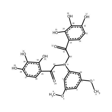 COc1cc(OC)cc(N(CC(=O)c2ccc(O)c(O)c2O)CC(=O)c2ccc(O)c(O)c2O)c1